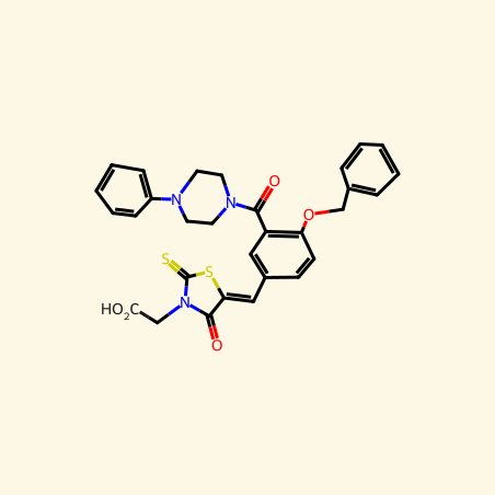 O=C(O)CN1C(=O)C(=Cc2ccc(OCc3ccccc3)c(C(=O)N3CCN(c4ccccc4)CC3)c2)SC1=S